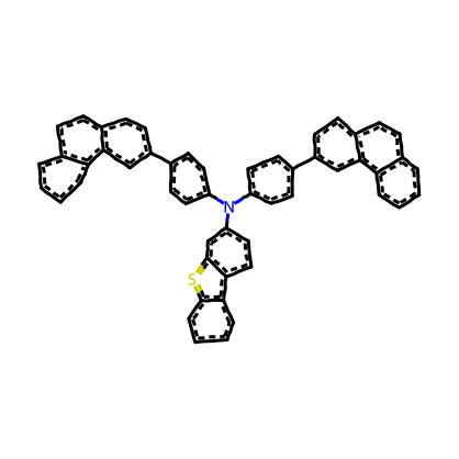 c1ccc2c(c1)ccc1ccc(-c3ccc(N(c4ccc(-c5ccc6ccc7ccccc7c6c5)cc4)c4ccc5c(c4)sc4ccccc45)cc3)cc12